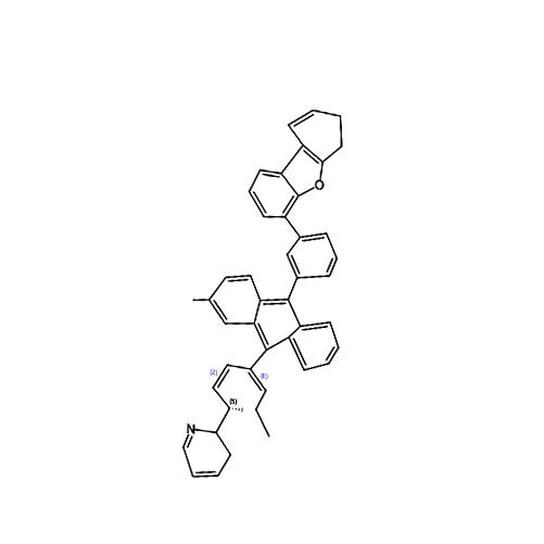 CC/C=C(\C=C/[C@H](C)C1CC=CC=N1)c1c2ccccc2c(-c2cccc(-c3cccc4c5c(oc34)CCC=C5)c2)c2ccc(C)cc12